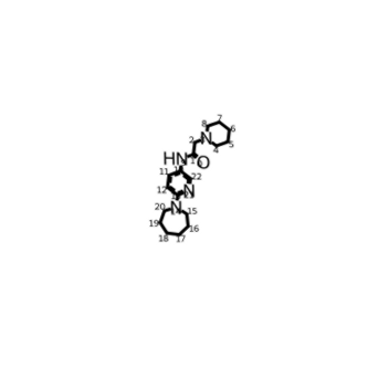 O=C(CN1CCCCC1)Nc1ccc(N2CCCCCC2)nc1